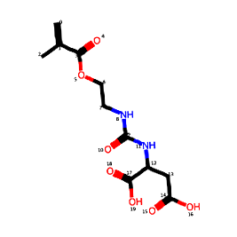 C=C(C)C(=O)OCCNC(=O)NC(CC(=O)O)C(=O)O